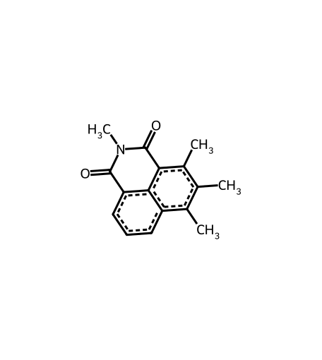 Cc1c(C)c2c3c(cccc3c1C)C(=O)N(C)C2=O